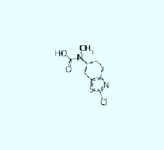 CN(C(=O)O)C1CCc2nc(Cl)sc2C1